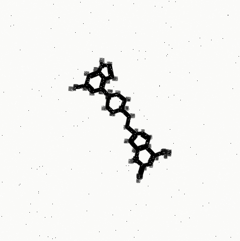 O=C1C=C(O)c2ccc(CCN3CCN(c4cc(F)cc5sccc45)CC3)cc2[N]1